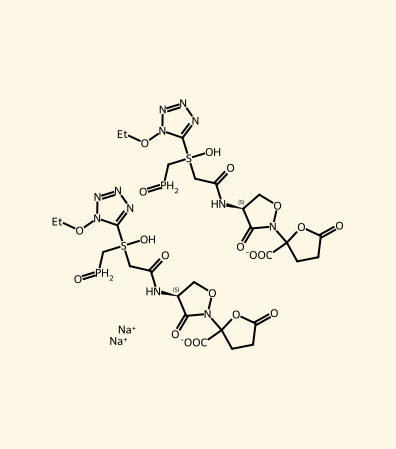 CCOn1nnnc1S(O)(C[PH2]=O)CC(=O)N[C@H]1CON(C2(C(=O)[O-])CCC(=O)O2)C1=O.CCOn1nnnc1S(O)(C[PH2]=O)CC(=O)N[C@H]1CON(C2(C(=O)[O-])CCC(=O)O2)C1=O.[Na+].[Na+]